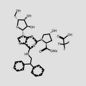 COC(=O)[C@@H]1C[C@@H](O)CN1c1nc(NCC(c2ccccc2)c2ccccc2)c2ncn([C@@H]3O[C@H](CO)[C@@H](O)[C@H]3O)c2n1.O=C(O)C(F)(F)F